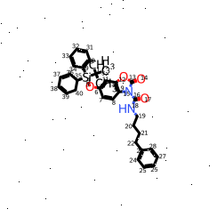 CC(C)(C)[Si](Oc1ccc2c(c1)oc(=O)n2C(=O)NCCCCc1ccccc1)(c1ccccc1)C1C=CC=CC1